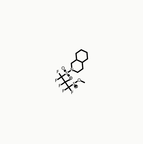 COS(=O)(=O)C(F)(F)C(F)(F)C(F)(F)S(=O)(=O)N1CCC2CCCCC2C1